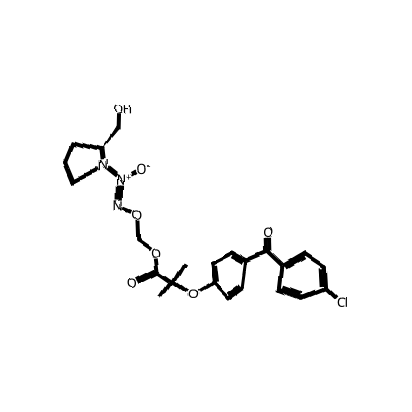 CC(C)(Oc1ccc(C(=O)c2ccc(Cl)cc2)cc1)C(=O)OCON=[N+]([O-])N1CCC[C@H]1CO